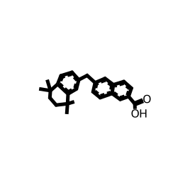 CC1(C)CCC(C)(C)c2cc(Cc3ccc4cc(C(=O)O)ccc4c3)ccc21